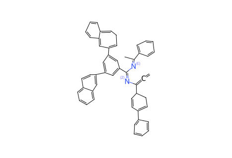 C=C=C(/N=C(\N=C(/C)c1ccccc1)c1cc(C2=CCC=c3ccccc3=C2)cc(-c2ccc3ccccc3c2)c1)C1C=CC(c2ccccc2)=CC1